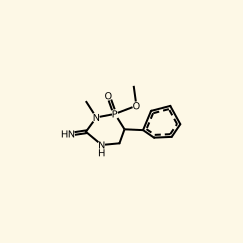 COP1(=O)C(c2ccccc2)CNC(=N)N1C